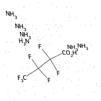 N.N.N.N.N.N.O=C(O)C(F)(F)C(F)(F)C(F)(F)F